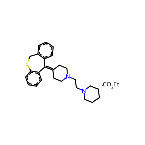 CCOC(=O)[C@@H]1CCCN(CCN2CCC(=C3c4ccccc4CSc4ccccc43)CC2)C1